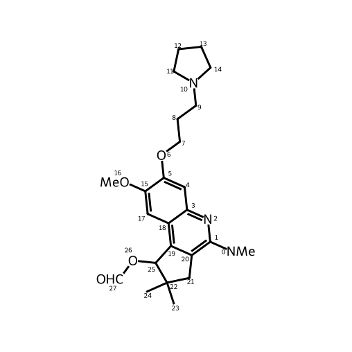 CNc1nc2cc(OCCCN3CCCC3)c(OC)cc2c2c1CC(C)(C)C2OC=O